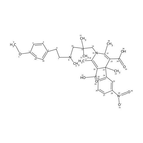 COc1ccc(CCN(C)CC(C)(C)CN2C(C)=C(C(=O)O)C(C)(c3cccc([N+](=O)[O-])c3)C(C(=O)O)=C2C)cc1